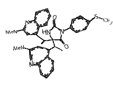 CNc1cc(C(C)C2(C(C)c3cc(NC)nc4ccccc34)NC(=O)N(c3ccc(SC(F)(F)F)cc3)C2=O)c2ccccc2n1